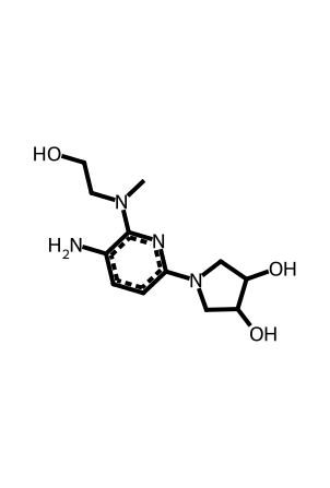 CN(CCO)c1nc(N2CC(O)C(O)C2)ccc1N